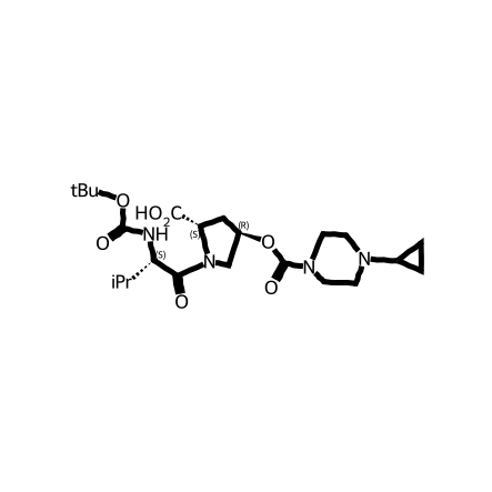 CC(C)[C@H](NC(=O)OC(C)(C)C)C(=O)N1C[C@H](OC(=O)N2CCN(C3CC3)CC2)C[C@H]1C(=O)O